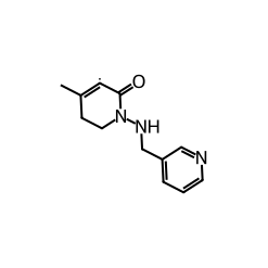 CC1=[C]C(=O)N(NCc2cccnc2)CC1